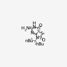 CCCCC(CCCC)n1c(=O)sc2c(=O)[nH]c(N)nc21